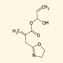 C=CC(O)OC(=O)C(=C)CC1=NCCO1